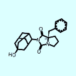 O=C1N(C2C3CC4CC2CC(O)(C4)C3)C(=O)[C@]2(Cc3ccccc3)CCCN12